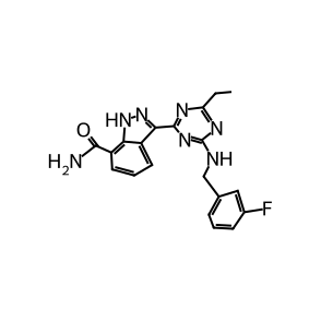 CCc1nc(NCc2cccc(F)c2)nc(-c2n[nH]c3c(C(N)=O)cccc23)n1